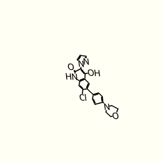 O=c1[nH]c2cc(Cl)c(-c3ccc(N4CCOCC4)cc3)cc2c(O)c1-n1cccn1